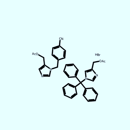 Br.CC(=O)OCc1cn(C(c2ccccc2)(c2ccccc2)c2ccccc2)cn1.CC(=O)OCc1cncn1Cc1ccc(C#N)cc1